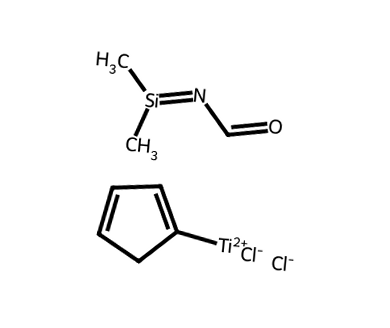 C[Si](C)=NC=O.[Cl-].[Cl-].[Ti+2][C]1=CC=CC1